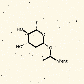 CCCCCC(C)O[C@@H]1C[C@H](O)[C@@H](O)[C@H](C)O1